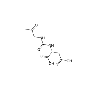 CC(=O)CNC(=O)NC(CC(=O)O)C(=O)O